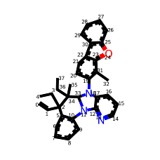 C=CC1(CC)c2ccccc2N2c3ncccc3N(c3ccc4c(oc5ccccc54)c3C)C2C1(C)CC